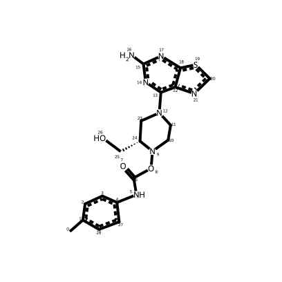 Cc1ccc(NC(=O)ON2CCN(c3nc(N)nc4scnc34)C[C@H]2CO)cc1